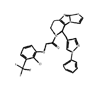 O=C(COc1cccc(C(F)(F)F)c1Cl)N1CCc2nc3sccn3c2C1c1cnn(-c2ccccc2)c1